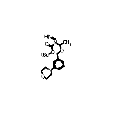 CC(OCc1cccc(N2CCOCC2)c1)N(C=N)C(=O)OC(C)(C)C